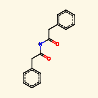 O=C(Cc1ccccc1)[N]C(=O)Cc1ccccc1